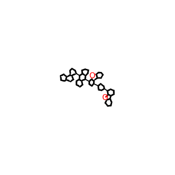 c1ccc2c(c1)ccc1c(-c3c4ccccc4c(-c4ccc(-c5ccc(-c6cccc7c6oc6ccccc67)cc5)c5c4oc4ccccc45)c4ccccc34)cccc12